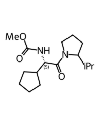 COC(=O)N[C@H](C(=O)N1CCCC1C(C)C)C1CCCC1